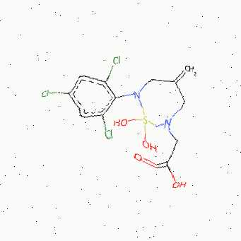 C=C1CN(CC(=O)O)S(O)(O)N(c2c(Cl)cc(Cl)cc2Cl)C1